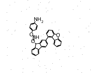 Nc1ccc(OBOC2c3ccccc3-c3ccc(-c4cccc5oc6ccccc6c45)cc32)cc1